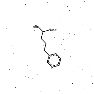 CCCCC(CCCc1cccnc1)NC